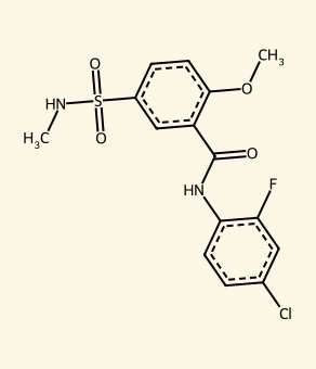 CNS(=O)(=O)c1ccc(OC)c(C(=O)Nc2ccc(Cl)cc2F)c1